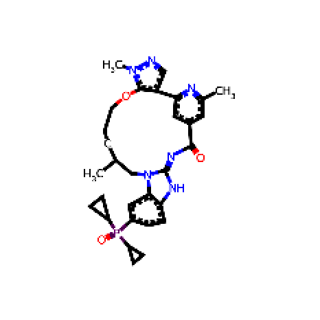 Cc1cc2cc(n1)-c1cnn(C)c1OCCCC(C)CN1/C(=N/C2=O)Nc2ccc(P(=O)(C3CC3)C3CC3)cc21